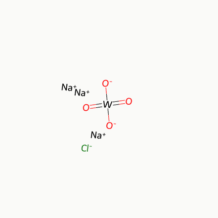 [Cl-].[Na+].[Na+].[Na+].[O]=[W](=[O])([O-])[O-]